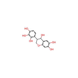 Oc1cc2c(cc1O)C(O)C(c1ccc(O)c(O)c1O)CO2